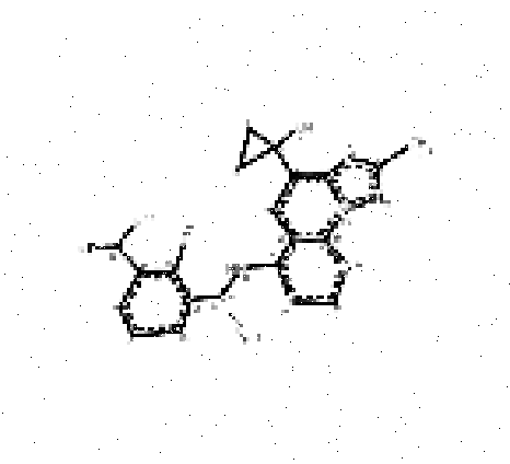 Cc1nc2c(C3(C#N)CC3)cc3c(N[C@H](C)c4cccc(C(F)F)c4F)ncnc3n2n1